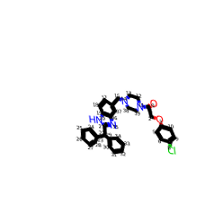 O=C(COc1ccc(Cl)cc1)N1CCN(Cc2ccc3[nH]c(C(c4ccccc4)c4ccccc4)nc3c2)CC1